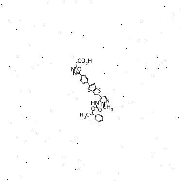 C[C@@H](OC(=O)Nc1c(-c2cc3sc(-c4ccc(-c5nnc(CC(=O)O)o5)cc4)cc3s2)cnn1C)c1ccccc1